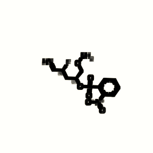 BOC[C@H](C[C@H](F)C=N)OS(=O)(=O)c1ccccc1[N+](=O)[O-]